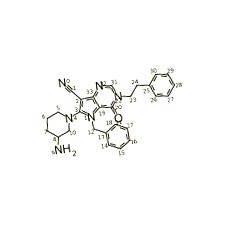 N#Cc1c(N2CCCC(N)C2)n(Cc2ccccc2)c2c(=O)n(CCc3ccccc3)cnc12